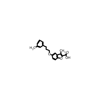 Cc1cccc(CCCOc2ccc3oc(C(=O)O)c(C)c3c2)c1